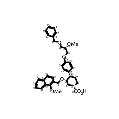 COc1c(CO[C@H]2CN(C(=O)O)CC[C@@H]2c2ccc(OC[C@H](COCc3ccccc3)OC)cc2)ccc2ccccc12